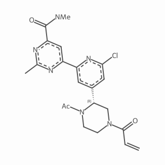 C=CC(=O)N1CCN(C(C)=O)[C@H](c2cc(Cl)nc(-c3cc(C(=O)NC)nc(C)n3)c2)C1